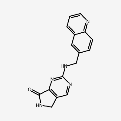 O=C1NCc2cnc(NCc3ccc4ncccc4c3)nc21